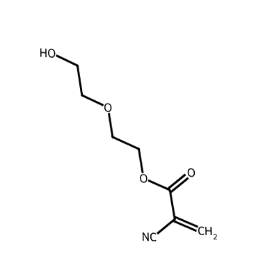 C=C(C#N)C(=O)OCCOCCO